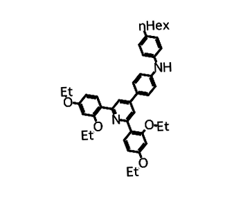 CCCCCCc1ccc(Nc2ccc(-c3cc(-c4ccc(OCC)cc4OCC)nc(-c4ccc(OCC)cc4OCC)c3)cc2)cc1